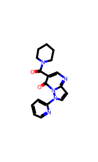 O=C(c1cnc2ccn(-c3ccccn3)n2c1=O)N1CCCCC1